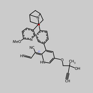 C#CC(C)(O)COC1=CN/C(=C(/C#N)C=N)C(c2ccc(N3CC4CC(C3)N4Cc3ccc(OC)nc3)nc2)=C1